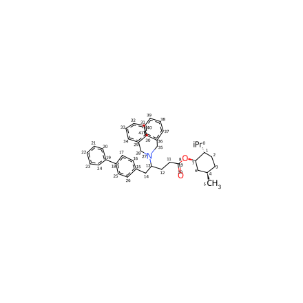 CC(C)[C@@H]1CC[C@@H](C)C[C@H]1OC(=O)CCC(Cc1ccc(-c2ccccc2)cc1)N(Cc1ccccc1)Cc1ccccc1